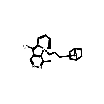 Cc1nncc2c1[N+]1(CCCN3CC4CCC(CC4)C3)C=CC=CC1=C2N